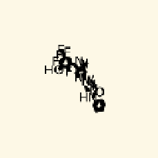 C[C@H]1CN(C(=O)Nc2ccccc2)CCN1c1cc2c(cn1)c(-c1cc(C(F)(F)F)c(F)c(O)c1F)nn2C